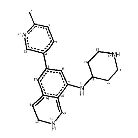 Cc1ccc(-c2cc(NC3CCNCC3)c3c(c2)=CCNC=3)cn1